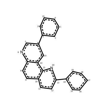 c1ccc(-c2cnc3ccc4ccc(-c5ccccc5)nc4c3c2)cc1